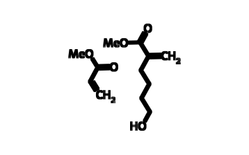 C=C(CCCCO)C(=O)OC.C=CC(=O)OC